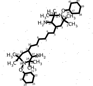 CC1(C)CC(CCCCCCC2CC(C)(C)N(OC3CCCCC3)C(C)(C)C2N)C(N)C(C)(C)N1OC1CCCCC1